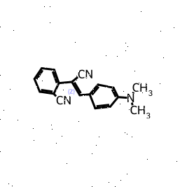 CN(C)c1ccc(/C=C(\C#N)c2ccccc2C#N)cc1